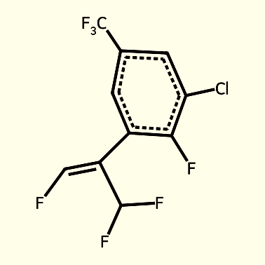 FC=C(c1cc(C(F)(F)F)cc(Cl)c1F)C(F)F